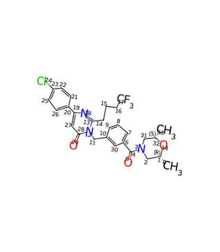 C[C@@H]1CN(C(=O)c2cccc(Cn3c(CCCC(F)(F)F)nc(-c4ccc(Cl)cc4)cc3=O)c2)C[C@H](C)O1